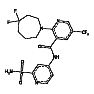 NS(=O)(=O)c1cc(NC(=O)c2cc(C(F)(F)F)cnc2N2CCCC(F)(F)CC2)ccn1